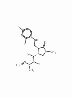 C=NN(C)/C(Cl)=C(\Br)[C@H]1CN(C)C(=O)[C@@H]1CNc1ccc(F)nc1F